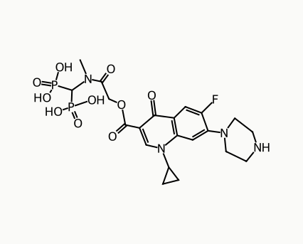 CN(C(=O)COC(=O)c1cn(C2CC2)c2cc(N3CCNCC3)c(F)cc2c1=O)C(P(=O)(O)O)P(=O)(O)O